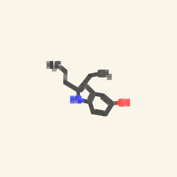 CCCc1[nH]c2ccc(O)cc2c1CC